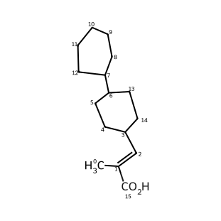 CC(=CC1CCC(C2CCCCC2)CC1)C(=O)O